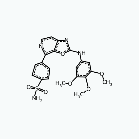 COc1cc(Nc2nc3ccnc(-c4ccc(S(N)(=O)=O)cc4)c3o2)cc(OC)c1OC